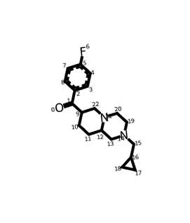 O=C(c1ccc(F)cc1)C1CCC2CN(CC3CC3)CCN2C1